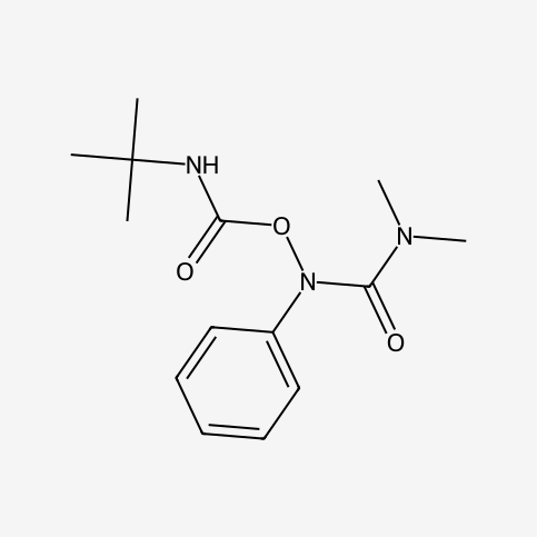 CN(C)C(=O)N(OC(=O)NC(C)(C)C)c1ccccc1